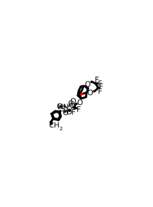 C=Cc1ccc(S(=O)(=O)NS(=O)(=O)C(F)(F)C(=O)OC23CC4CC(C2)C2(OCC(F)(F)C(F)(F)CO2)C(C4)C3)cc1